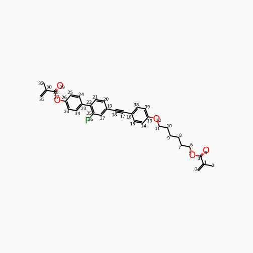 C=C(C)C(=O)OCCCCCCOc1ccc(C#Cc2ccc(-c3ccc(OC(=O)C(=C)C)cc3)c(F)c2)cc1